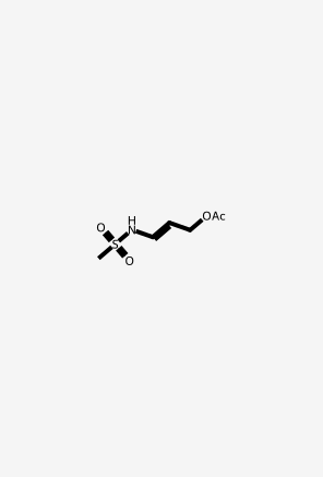 CC(=O)OCC=CNS(C)(=O)=O